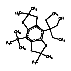 CCC(CC)(CO)c1c2c(c([Si](C)(C)C)c3c1SC(C)(C)S3)SC(C)(C)S2